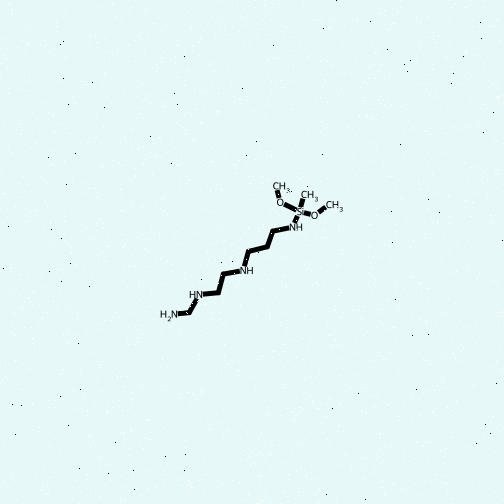 CO[Si](C)(NCCCNCCNCN)OC